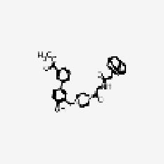 COC(=O)c1cccc(-c2ccc(O)c(CN3CCN(C(=O)CNC(=O)CC45CC6CC(CC(C6)C4)C5)CC3)c2)c1